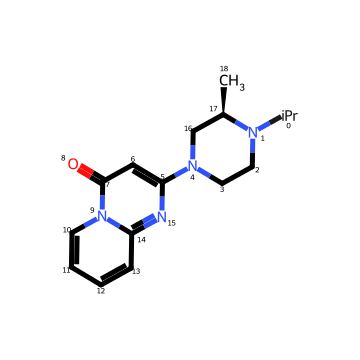 CC(C)N1CCN(c2cc(=O)n3ccccc3n2)C[C@H]1C